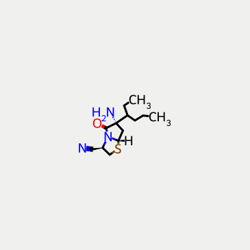 CCCC(CC)[C@@]1(N)C[C@@H]2SC[C@@H](C#N)N2C1=O